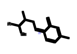 C=c1cc(C)cc/c1=C/CC(C)C(C(C)C)C(C)(C)C